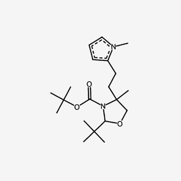 Cn1cccc1CCC1(C)COC(C(C)(C)C)N1C(=O)OC(C)(C)C